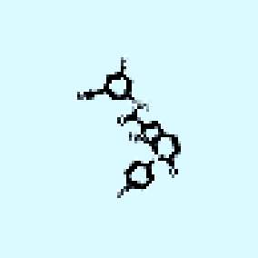 N#Cc1cc(F)cc(NC(=O)c2cc3ccc(=O)n(-c4ccc(F)cc4)c3[nH]2)c1